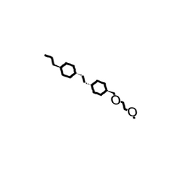 CCC[C@H]1CC[C@H](CC[C@H]2CC[C@H](COCCOC)CC2)CC1